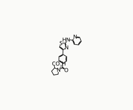 O=C(O)C1CCCN1C(=O)c1ccc(-c2csc(Nc3ccccn3)n2)cc1